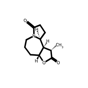 C[C@@H]1C(=O)O[C@@H]2CCCN3C(=O)CC[C@H]3[C@@H]12